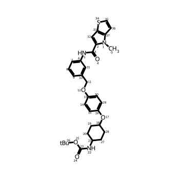 Cn1c(C(=O)Nc2cccc(COc3ccc(OC4CCC(NC(=O)OC(C)(C)C)CC4)cc3)c2)cc2sccc21